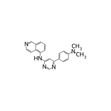 CN(C)c1ccc(-c2cc(Nc3cccc4cnccc34)ncn2)cc1